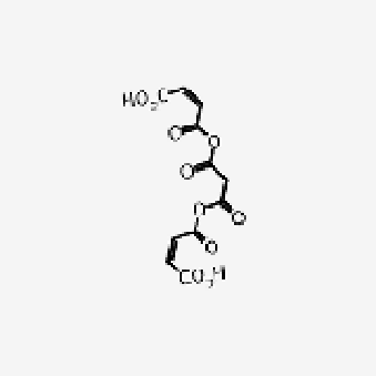 O=C(O)/C=C\C(=O)OC(=O)CC(=O)OC(=O)/C=C\C(=O)O